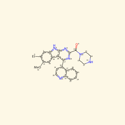 CCc1cc2[nH]c3nc(C(=O)N4CCNCC4)nc(-c4ccnc5ccccc45)c3c2cc1OC